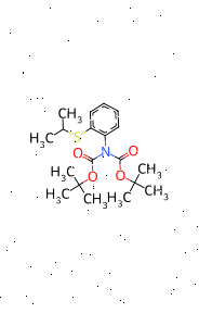 CC(C)Sc1ccccc1N(C(=O)OC(C)(C)C)C(=O)OC(C)(C)C